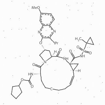 COc1ccc2nc(C(C)C)c(O[C@@H]3C[C@H]4C(=O)N[C@]5(C(=O)NS(=O)(=O)C6(C)CC6)C[C@H]5/C=C\CCCCC[C@H](NC(=O)OC5CCCC5)C(=O)N4C3)nc2c1